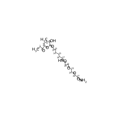 CCC(=O)C1CC(C)C(O)C(OCCCCCCNOCCOCCOCCON)O1